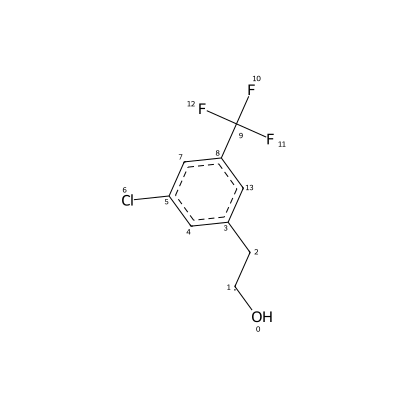 O[CH]Cc1cc(Cl)cc(C(F)(F)F)c1